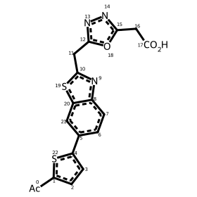 CC(=O)c1ccc(-c2ccc3nc(Cc4nnc(CC(=O)O)o4)sc3c2)s1